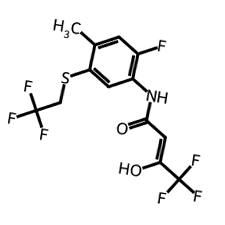 Cc1cc(F)c(NC(=O)C=C(O)C(F)(F)F)cc1SCC(F)(F)F